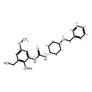 COc1c(CO)cc(OC(F)(F)F)cc1NC(=O)N[C@H]1CC[C@H](OCc2cccnc2)CC1